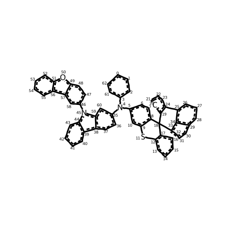 c1ccc(N(c2ccc3c(c2)Sc2ccccc2C32c3ccccc3-c3cccc4cccc2c34)c2ccc3c4ccccc4n(-c4ccc5oc6ccccc6c5c4)c3c2)cc1